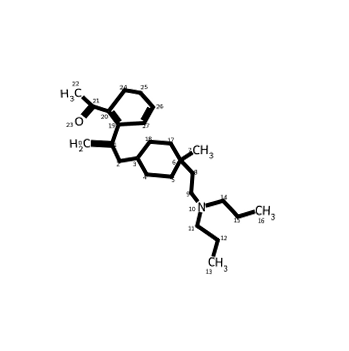 C=C(CC1CCC(C)(CCN(CCC)CCC)CC1)C1=C(C(C)=O)CCC=C1